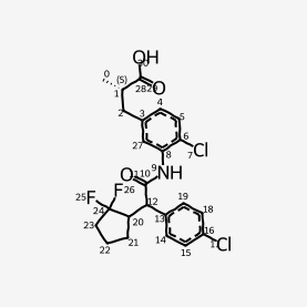 C[C@@H](Cc1ccc(Cl)c(NC(=O)C(c2ccc(Cl)cc2)C2CCCC2(F)F)c1)C(=O)O